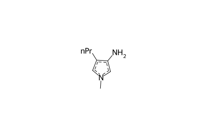 CCCc1cn(C)cc1N